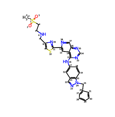 CS(=O)(=O)CCNCc1csc(-c2cc3c(Nc4ccc5c(cnn5Cc5ccccc5)c4)ncnc3cn2)n1